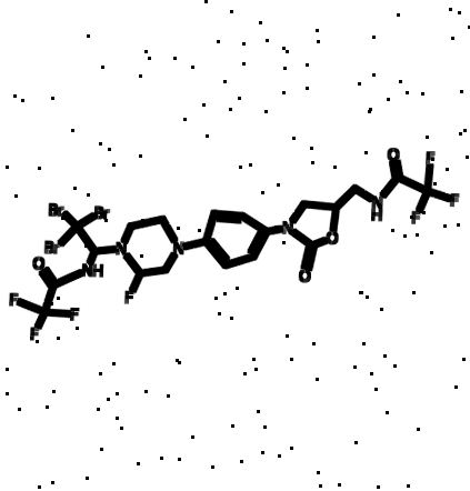 O=C1OC(CNC(=O)C(F)(F)F)CN1c1ccc(N2CCN(C(NC(=O)C(F)(F)F)C(Br)(Br)Br)C(F)C2)cc1